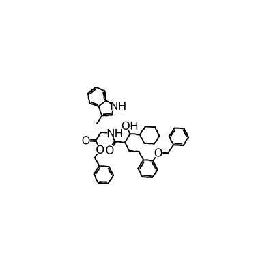 O=C(N[C@@H](Cc1c[nH]c2ccccc12)C(=O)OCc1ccccc1)C(CCc1ccccc1OCc1ccccc1)C(O)C1CCCCC1